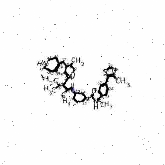 C=C1COC([C@@H](C(C)C)C(C)/C=C2\CCC[C@@H](C(=O)N[C@@H](C)c3ccc(-c4scnc4C)cc3)C2)=CC1CC1=CCCNCC1